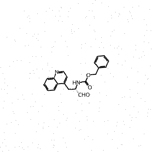 O=[C][C@H](Cc1ccnc2ccccc12)NC(=O)OCc1ccccc1